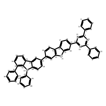 c1ccc(-c2nc(-c3ccccc3)nc(-c3ccc4c(c3)oc3cc(-c5ccc6c(c5)c5cccc(-c7ccccc7)c5n6-c5ccccc5)ccc34)n2)cc1